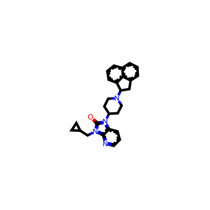 O=c1n(CC2CC2)c2ncccc2n1C1CCN(C2Cc3cccc4cccc2c34)CC1